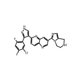 Fc1cc(F)c(-c2n[nH]cc2-c2ccc3ncc(-c4ncc5n4CCNC5)cc3n2)cc1Cl